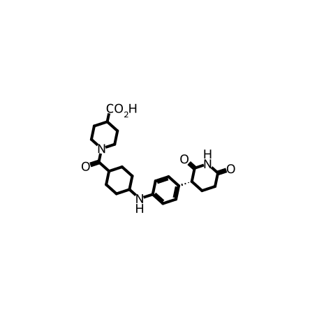 O=C1CC[C@H](c2ccc(NC3CCC(C(=O)N4CCC(C(=O)O)CC4)CC3)cc2)C(=O)N1